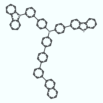 c1cc(-c2ccc(-c3ccc(N(c4ccc(-c5cccc(-n6c7ccccc7c7ccccc76)c5)cc4)c4ccc(-c5ccc6c(c5)sc5ccccc56)cc4)cc3)cc2)cc(-c2ccc3ccccc3c2)c1